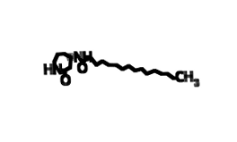 CCCCCCCCCCCCCCCC(=O)N[C@H]1CCCNC(=O)C1